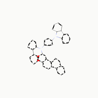 C1=CC2c3ccccc3N(c3ccc(N(c4ccc5ccc6c7ccccc7ccc6c5c4)c4ccccc4-c4ccccc4)cc3)C2C=C1